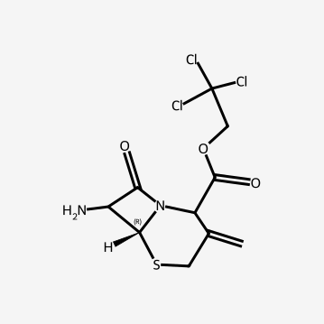 C=C1CS[C@@H]2C(N)C(=O)N2C1C(=O)OCC(Cl)(Cl)Cl